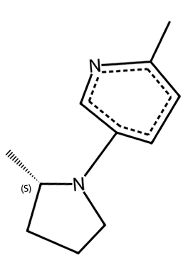 Cc1ccc(N2CCC[C@@H]2C)cn1